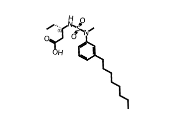 CCCCCCCCc1cccc(N(C)S(=O)(=O)N[C@@H](CC)CC(=O)O)c1